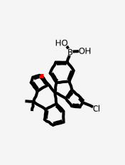 CC1(C)c2ccccc2C2(c3ccc(Cl)cc3-c3cc(B(O)O)ccc32)c2ccccc21